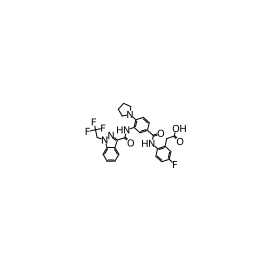 O=C(O)Cc1cc(F)ccc1NC(=O)c1ccc(N2CCCC2)c(NC(=O)c2nn(CC(F)(F)F)c3ccccc23)c1